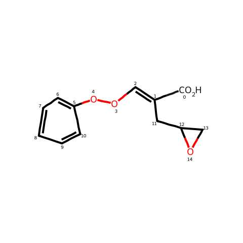 O=C(O)C(=COOc1ccccc1)CC1CO1